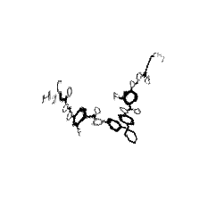 C=CC(=O)OCOc1ccc(C(=O)Oc2ccc(C3(c4ccc(OC(=O)c5ccc(OCOC(=O)C=C)cc5F)cc4)CCCCC3)cc2)c(F)c1